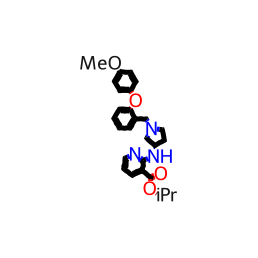 COc1ccc(Oc2ccccc2CN2CC[C@H](Nc3ncccc3C(=O)OC(C)C)C2)cc1